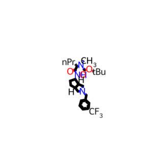 CCCC(C(=O)N[C@H]1CC[C@@H]2CN(Cc3cccc(C(F)(F)F)c3)C[C@@H]21)N(C)C(=O)OC(C)(C)C